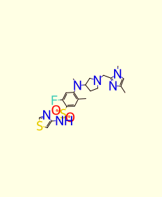 Cc1cn(C)c(CN2CCC(N(C)c3cc(F)c(S(=O)(=O)Nc4cscn4)cc3C)C2)n1